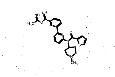 CC(=N)OC(=N)c1cccc(-c2cccc(N(C(=O)c3cccs3)C3CCN(C)CC3)n2)c1